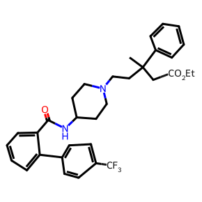 CCOC(=O)CC(C)(CCN1CCC(NC(=O)c2ccccc2-c2ccc(C(F)(F)F)cc2)CC1)c1ccccc1